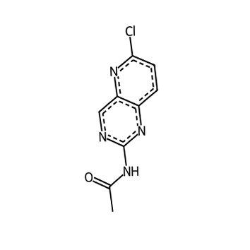 CC(=O)Nc1ncc2nc(Cl)ccc2n1